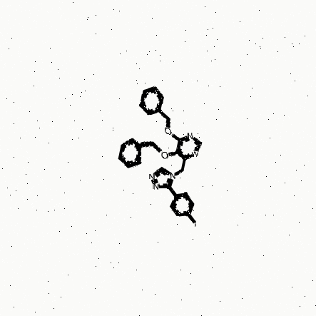 Ic1ccc(-c2nncn2Cc2ncnc(OCc3ccccc3)c2OCc2ccccc2)cc1